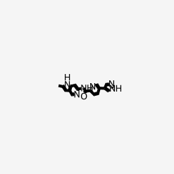 Cc1cc2cnc(NC(=O)c3ccc(-c4cn[nH]c4)cn3)cc2[nH]1